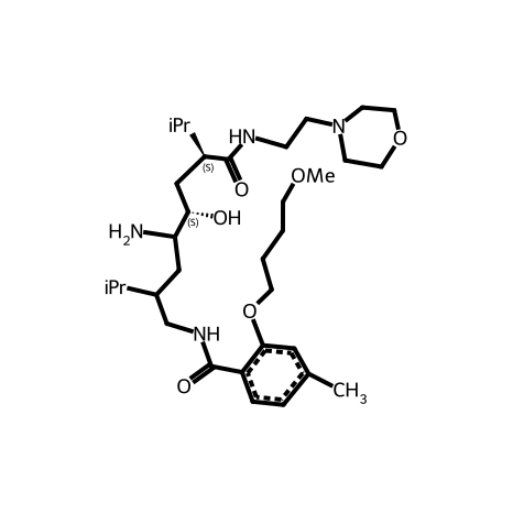 COCCCCOc1cc(C)ccc1C(=O)NCC(CC(N)[C@@H](O)C[C@H](C(=O)NCCN1CCOCC1)C(C)C)C(C)C